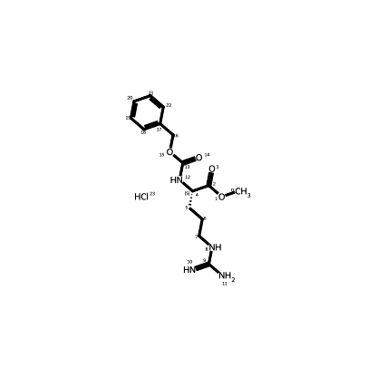 COC(=O)[C@H](CCCNC(=N)N)NC(=O)OCc1ccccc1.Cl